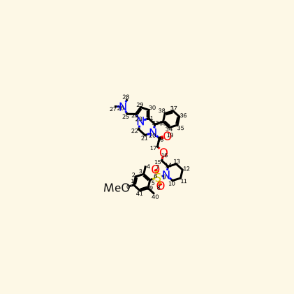 COc1cc(C)c(S(=O)(=O)N2CCCCC2COCC(=O)N2CCn3c(CN(C)C)ccc3C2c2ccccc2)c(C)c1